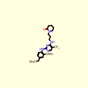 COCc1ccc(Nc2ncc(C(F)(F)F)c(NCCCN3CCCCC3=O)n2)c(OC)c1